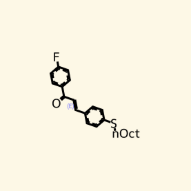 CCCCCCCCSc1ccc(/C=C/C(=O)c2ccc(F)cc2)cc1